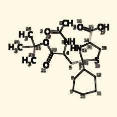 CC(=O)NC(C[C@]1(C2CCCCC2)N[C@H](C(=O)O)CS1)C(=O)OC(C)(C)C